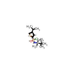 CC(C)c1csc(S(=O)(Cl)=N[Si](C)(C)C(C)(C)C)c1